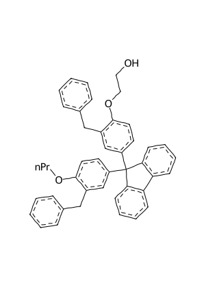 CCCOc1ccc(C2(c3ccc(OCCO)c(Cc4ccccc4)c3)c3ccccc3-c3ccccc32)cc1Cc1ccccc1